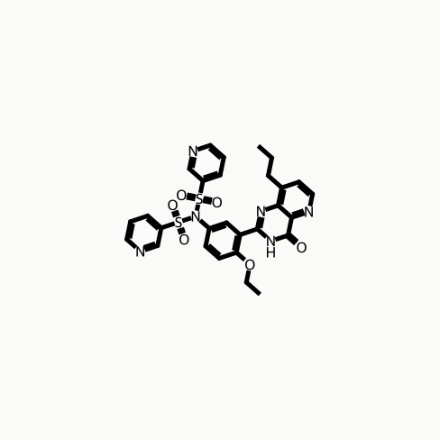 CCCc1ccnc2c(=O)[nH]c(-c3cc(N(S(=O)(=O)c4cccnc4)S(=O)(=O)c4cccnc4)ccc3OCC)nc12